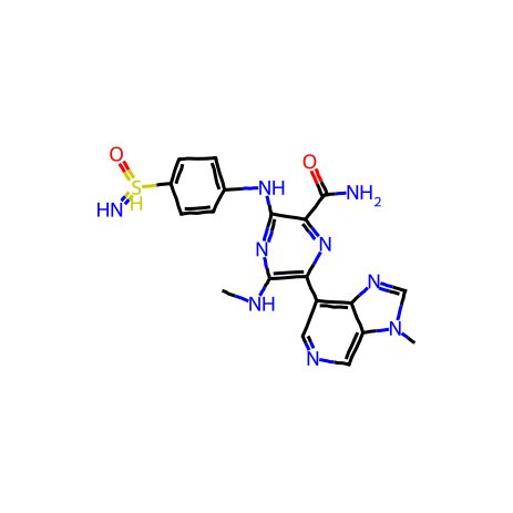 CNc1nc(Nc2ccc([SH](=N)=O)cc2)c(C(N)=O)nc1-c1cncc2c1ncn2C